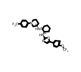 FC(F)(F)Oc1ccc(-c2cnc(N[C@@H]3CCCC[C@H]3N[C@H]3CCCN(c4ccc(C(F)(F)F)cc4)C3)o2)cc1